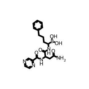 NC(=O)CC(NC(=O)c1cnccn1)C(=O)NC(CCCc1ccccc1)B(O)O